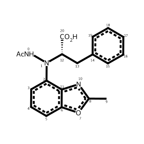 CC(=O)NN(c1cccc2oc(C)nc12)[C@@H](Cc1ccccc1)C(=O)O